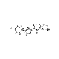 O=C(NC1CC2CNC1C2)c1ccc(-c2ccc(F)cc2)s1